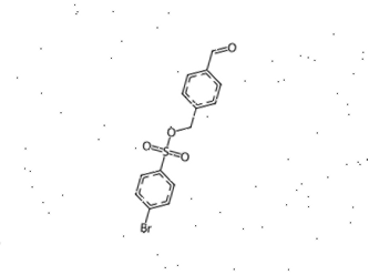 O=Cc1ccc(COS(=O)(=O)c2ccc(Br)cc2)cc1